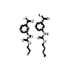 O=C(Nc1cccc(C(=O)Cl)c1)OCCCBr.O=C(Nc1cccc(C(=O)Cl)c1)OCCI